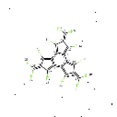 FC(F)=C1C(F)=c2c3c(c4c(c2=C1F)=C(F)C(=C(F)F)C=4F)=C(F)C(=C(F)F)C=3F